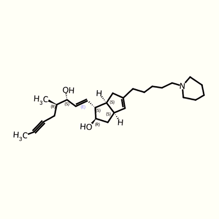 CC#CC[C@@H](C)[C@H](O)/C=C/[C@@H]1[C@H]2CC(CCCCCN3CCCCC3)=C[C@H]2C[C@H]1O